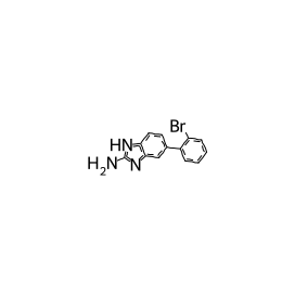 Nc1nc2cc(-c3ccccc3Br)ccc2[nH]1